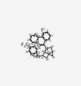 O=C(c1cccc(F)c1-c1ncccn1)N1CC2CC23CC(Nc2ccc(C(F)(F)F)cn2)C13